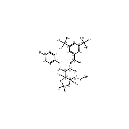 C[C@@H](O[C@@H]1O[C@H](CO)[C@@H]2OC(C)(C)O[C@@H]2[C@H]1OCc1ccc(F)cc1)c1cc(C(F)(F)F)cc(C(F)(F)F)c1